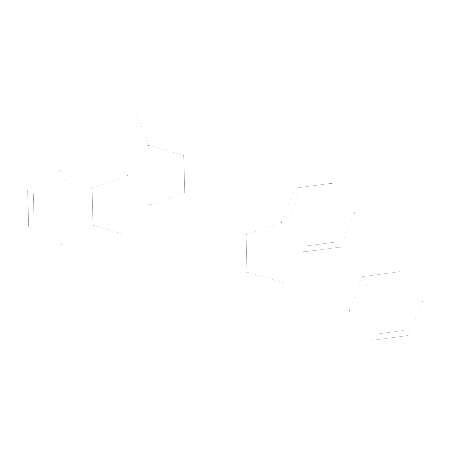 CC1Cc2c(-c3ccccc3)cccc2C1S(C)(C)C1C(C)C(C)C2c3ccccc3SC21